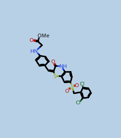 COC(=O)CNc1ccc(C=C2Sc3cc(S(=O)(=O)Cc4c(Cl)cccc4Cl)ccc3NC2=O)cc1